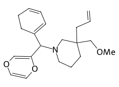 C=CCC1(COC)CCCN(C(C2=CC=CCC2)C2=COC=CO2)C1